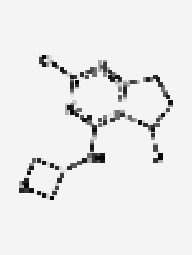 [O-][S+]1CCc2nc(Cl)nc(NC3COC3)c21